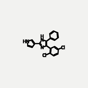 Clc1ccc(Cl)c(-c2nc(-c3cc[nH]c3)[nH]c2-c2ccccc2)c1